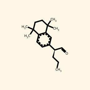 CCC[C@H](C=O)c1ccc2c(c1)C(C)(C)CCC2(C)C